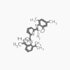 CC(=Nc1c(C)cc(C)cc1Cl)c1cccc(C(C)=Nc2c(C(C)C)cccc2C(C)C)n1